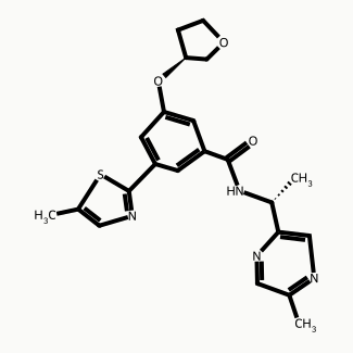 Cc1cnc([C@@H](C)NC(=O)c2cc(O[C@H]3CCOC3)cc(-c3ncc(C)s3)c2)cn1